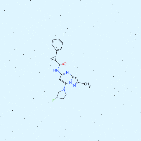 Cc1cc2nc(NC(=O)C3CC3c3ccccc3)cc(N3CCC(F)C3)n2n1